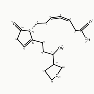 O=C(O)CC=C=CCC[C@H]1C(=O)CC=C1CCC(O)C1CCCC1